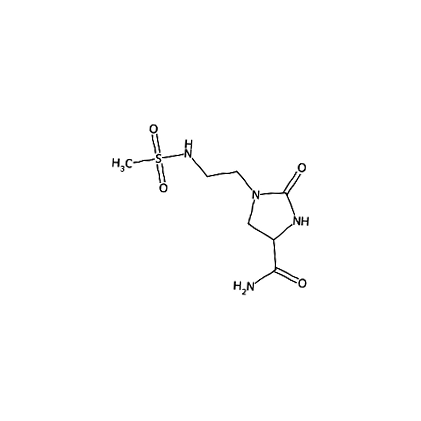 CS(=O)(=O)NCCN1CC(C(N)=O)NC1=O